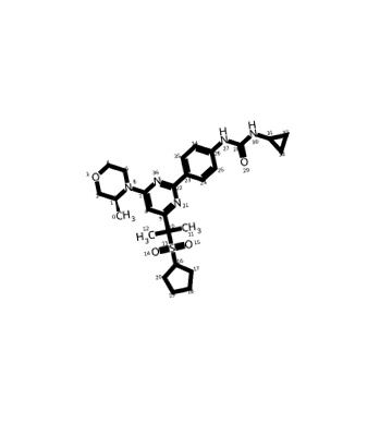 C[C@H]1COCCN1c1cc(C(C)(C)S(=O)(=O)C2CCCC2)nc(-c2ccc(NC(=O)NC3CC3)cc2)n1